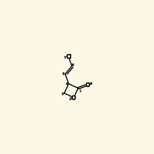 O=C1OCC1C=CCl